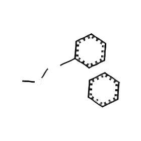 COC.Cc1ccccc1.c1ccccc1